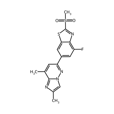 Cc1cn2nc(-c3cc(F)c4nc(S(C)(=O)=O)sc4c3)cc(C)c2n1